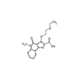 CCOCCOc1c(C(=O)O)sc2c1c(=O)n(C)c1ccccc21